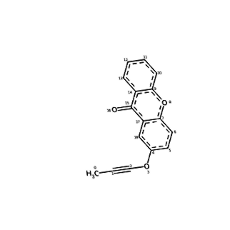 CC#COc1ccc2oc3ccccc3c(=O)c2c1